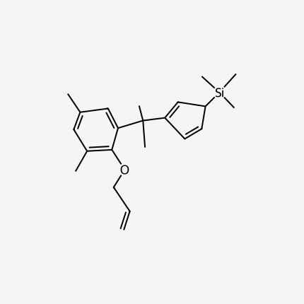 C=CCOc1c(C)cc(C)cc1C(C)(C)C1=CC([Si](C)(C)C)C=C1